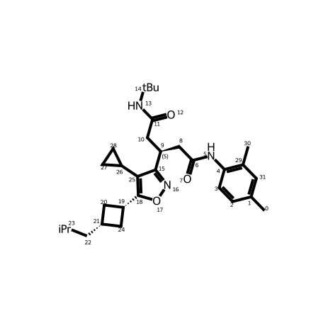 Cc1ccc(NC(=O)C[C@H](CC(=O)NC(C)(C)C)c2noc([C@H]3C[C@@H](CC(C)C)C3)c2C2CC2)c(C)c1